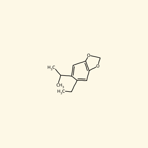 CCc1cc2c(cc1C(C)C)OCO2